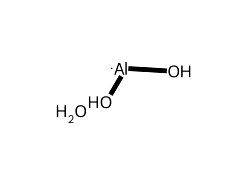 O.[OH][Al][OH]